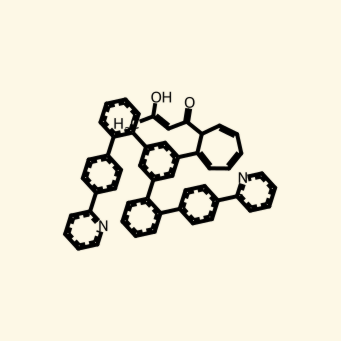 C/C(O)=C/C(=O)C1C=CC=CC=C1c1cc(-c2ccccc2-c2ccc(-c3ccccn3)cc2)cc(-c2ccccc2-c2ccc(-c3ccccn3)cc2)c1